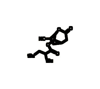 CC(C)(C)CC(C(=O)OC1C2CC(=O)OC1C(C#N)C2)C(C)(C)C